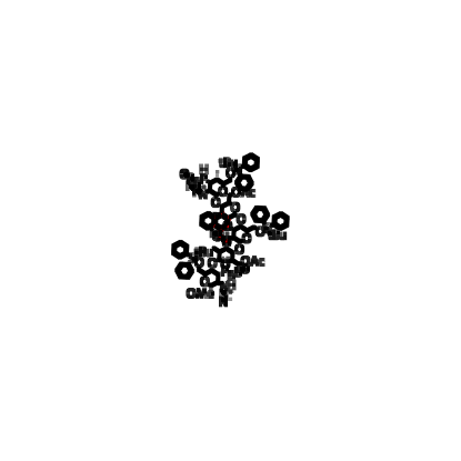 CO[C@@H]1OC(CO[Si](c2ccccc2)(c2ccccc2)C(C)(C)C)[C@@H](O[C@@H]2OC(COC(C)=O)[C@@H](O[C@@H]3OC(CO[Si](c4ccccc4)(c4ccccc4)C(C)(C)C)[C@@H](O[C@@H]4OC(COC(C)=O)[C@@H](O[C@@H]5OC(CO[Si](c6ccccc6)(c6ccccc6)C(C)(C)C)[C@@H](C)[C@H](PBB=O)C5N=[N+]=[N-])[C@H](C)C4OC(=O)c4ccccc4)[C@H](C)C3N=[N+]=[N-])[C@@H](OCc3ccccc3)C2C)[C@H](PBB=O)C1N=[N+]=[N-]